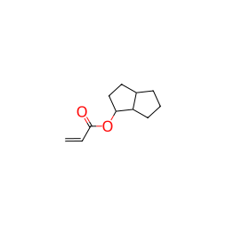 C=CC(=O)OC1CCC2CCCC21